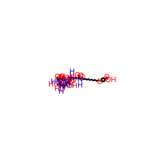 O=C[C@H](CO)NC(=O)[C@H](CO)NC(=O)[C@H](CO)NC(=O)[C@H](CO)NC(=O)[C@H](CO)NC(=O)[C@H](CO)NC(=O)CC[C@H](NC(=O)CCCCCCCCCCOc1ccc(C(=O)O)cc1)C(=O)O